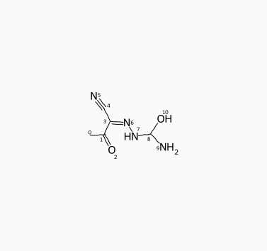 CC(=O)/C(C#N)=N\NC(N)O